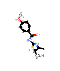 Cc1nc(NC(=O)c2ccc(OC(F)(F)F)cc2)sc1C(=O)O